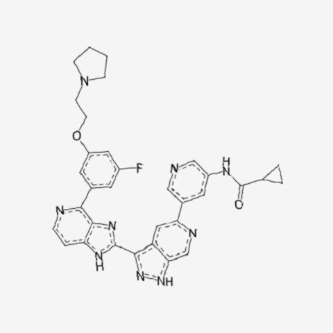 O=C(Nc1cncc(-c2cc3c(-c4nc5c(-c6cc(F)cc(OCCN7CCCC7)c6)nccc5[nH]4)n[nH]c3cn2)c1)C1CC1